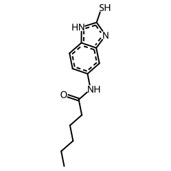 CCCCCC(=O)Nc1ccc2[nH]c(S)nc2c1